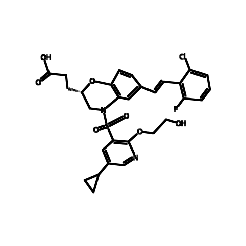 O=C(O)CC[C@H]1CN(S(=O)(=O)c2cc(C3CC3)cnc2OCCO)c2cc(/C=C/c3c(F)cccc3Cl)ccc2O1